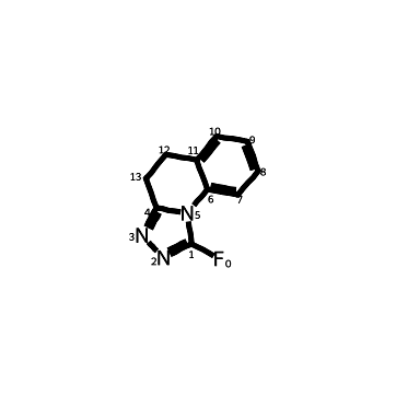 Fc1nnc2n1-c1ccccc1CC2